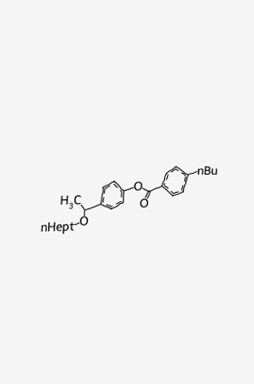 CCCCCCCOC(C)c1ccc(OC(=O)c2ccc(CCCC)cc2)cc1